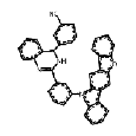 N#Cc1cccc(C2NC(c3cccc(-n4c5ccccc5c5cc6oc7ccccc7c6cc54)c3)=Nc3ccccc32)c1